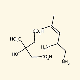 CC(C)=CC(N)CN.O=C(O)CC(O)(CC(=O)O)C(=O)O